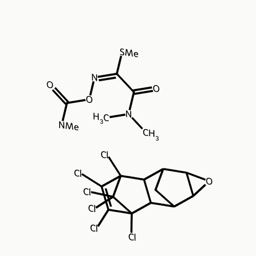 CNC(=O)O/N=C(/SC)C(=O)N(C)C.ClC1=C(Cl)C2(Cl)C3C4CC(C5OC45)C3C1(Cl)C2(Cl)Cl